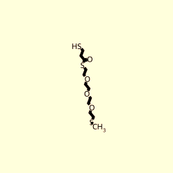 CSCCOCCOCCOCCSC(=O)CCS